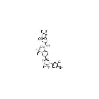 CC(CS(=O)(=O)CC(F)(F)F)NC(=O)c1ccc(/C(F)=C/C(c2ccc(Br)c(Cl)c2)C(F)(F)F)cc1C(F)(F)F